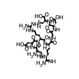 N=C(N)NCCC[C@H](NC(=O)[C@H](CCCNC(=N)N)NC(=O)[C@H](CC(=O)O)NC(=O)[C@@H](N)CS)C(=O)NCC(=O)N[C@@H](CC(=O)O)C(=O)N[C@@H](CS)C(=O)O